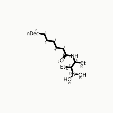 CCCCCCCCCCCCCCCC(=O)NC(CC)C(CC)N(O)O